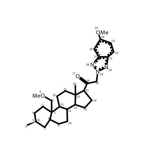 COCC12CC[C@H](C)CC1CCC1C3CCC(C(=O)Cn4nc5ccc(OC)cc5n4)C3(C)CCC12